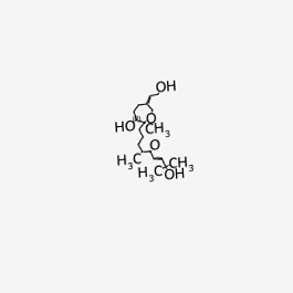 CC(CCCC1(C)OCC(=CCO)CC[C@H]1O)C(=O)C=CC(C)(C)O